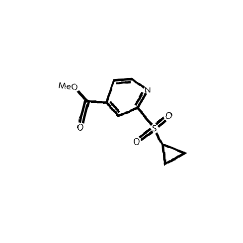 COC(=O)c1ccnc(S(=O)(=O)C2CC2)c1